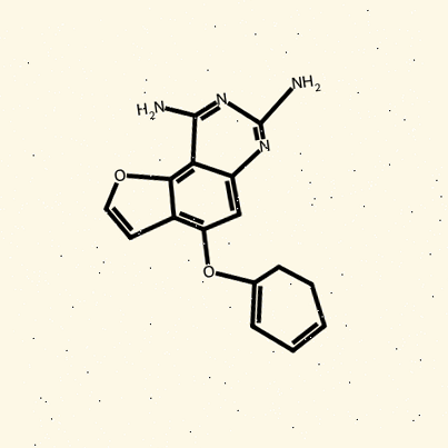 Nc1nc(N)c2c(cc(OC3=CC=CCC3)c3ccoc32)n1